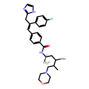 CSC(C[C@H](NC(=O)c1ccc(C=C(Cc2ncc[nH]2)c2ccc(F)cc2)cc1)C(=O)O)C(C)CN1CCOCC1